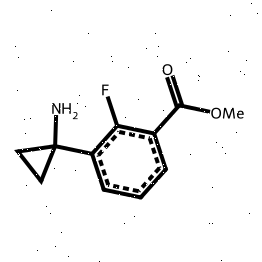 COC(=O)c1cccc(C2(N)CC2)c1F